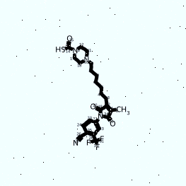 CC1=C(CCCCCCCN2CCN(C(=O)S)CC2)C(=O)N(c2ccc(C#N)c(C(F)(F)F)c2)C1=O